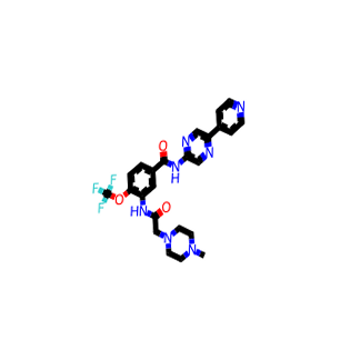 CN1CCN(CC(=O)Nc2cc(C(=O)Nc3cnc(-c4ccncc4)cn3)ccc2OC(F)(F)F)CC1